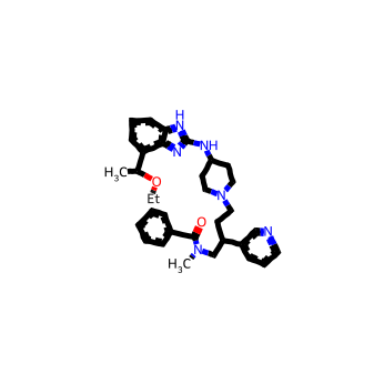 CCOC(C)c1cccc2[nH]c(NC3CCN(CCC(CN(C)C(=O)c4ccccc4)c4cccnc4)CC3)nc12